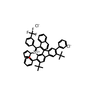 CC(C)(C)c1cc2c(cc1-c1ccccc1)Cc1c-2cc(C(C)(C)C)c(-c2ccccc2)[c]1[Zr+2](=[C](c1cccc(C(F)(F)F)c1)c1cccc2ccccc12)[CH]1C=CC=C1.[Cl-].[Cl-]